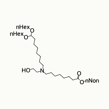 CCCCCCCCCOC(=O)CCCCCCCN(CCO)CCCCCCCC(OCCCCCC)OCCCCCC